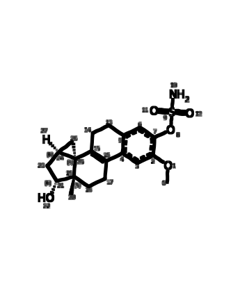 COc1cc2c(cc1OS(N)(=O)=O)CCC1=C2CC[C@]2(C)[C@H](O)C[C@H]3C[C@@]132